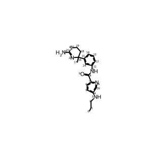 CCCNc1ccc(C(=O)Nc2cccc(C3(C)CCSC(N)=N3)c2)nc1